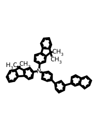 CC1(C)c2ccccc2-c2ccc(N(c3ccc(-c4cccc(-c5ccc6ccccc6c5)c4)cc3)c3ccc4c(c3)C(C)(C)c3ccccc3-4)cc21